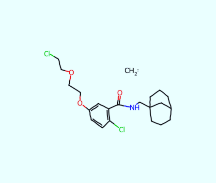 O=C(NCC12CCCC(CCC1)C2)c1cc(OCCOCCCl)ccc1Cl.[CH2]